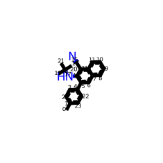 Cc1ccc(-c2cc3ccccc3c(C#N)c2NC(C)(C)C)cc1